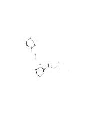 CN(C)NC(=O)c1ccccc1OCCOc1ccccc1